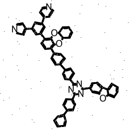 C1=CC2Oc3c(-c4ccc(-c5ccc(-c6nc(-c7ccc(-c8ccccc8)cc7)nc(-c7ccc8c(c7)oc7ccccc78)n6)cc5)cc4)ccc(-c4cc(-c5ccncc5)cc(-c5ccncc5)c4)c3OC2C=C1